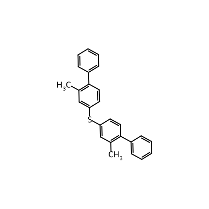 Cc1cc(Sc2ccc(-c3ccccc3)c(C)c2)ccc1-c1ccccc1